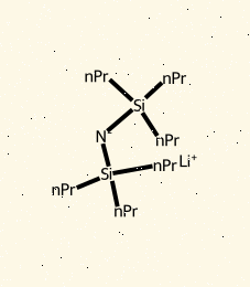 CCC[Si](CCC)(CCC)[N-][Si](CCC)(CCC)CCC.[Li+]